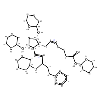 O=C(CCC/C=C\C[C@@H]1[C@@H](/C=C/C(CCc2ccccc2)OC2CCCCO2)[C@H](OC2CCCCO2)C[C@@H]1OC1CCCCO1)OC1CCCCO1